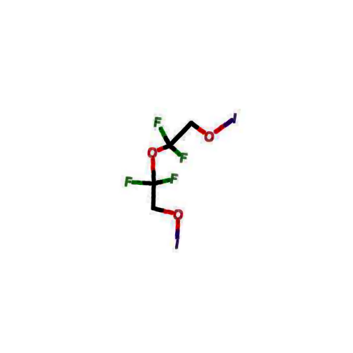 FC(F)(COI)OC(F)(F)COI